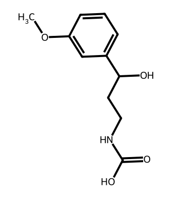 COc1cccc(C(O)CCNC(=O)O)c1